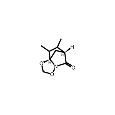 CC1C(C)[C@]23C[C@H]1C(=O)N2OCO3